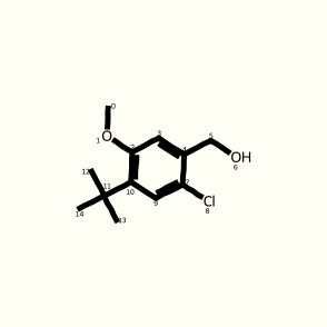 COc1cc(CO)c(Cl)cc1C(C)(C)C